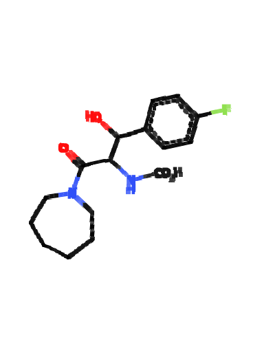 O=C(O)NC(C(=O)N1CCCCCC1)C(O)c1ccc(F)cc1